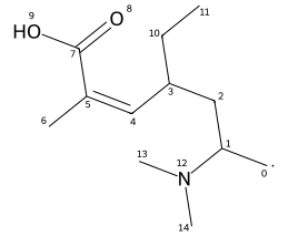 [CH2]C(CC(C=C(C)C(=O)O)CC)N(C)C